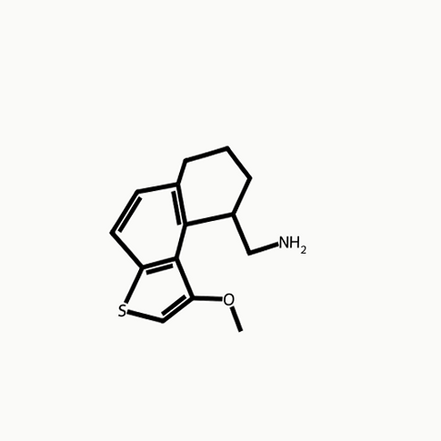 COc1csc2ccc3c(c12)C(CN)CCC3